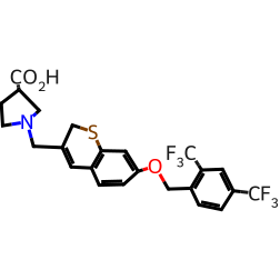 O=C(O)C1CCN(CC2=Cc3ccc(OCc4ccc(C(F)(F)F)cc4C(F)(F)F)cc3SC2)C1